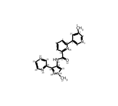 Cc1cncc(-c2cccc(C(=O)Nc3cn(C)nc3-c3cnccn3)n2)c1